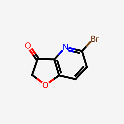 O=C1COc2ccc(Br)nc21